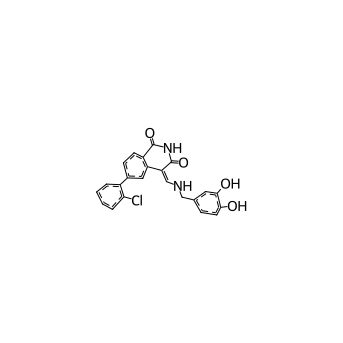 O=C1NC(=O)c2ccc(-c3ccccc3Cl)cc2C1=CNCc1ccc(O)c(O)c1